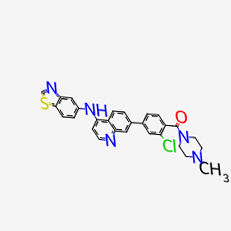 CN1CCN(C(=O)c2ccc(-c3ccc4c(Nc5ccc6scnc6c5)ccnc4c3)cc2Cl)CC1